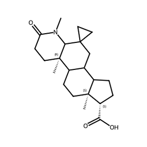 CN1C(=O)CC[C@]2(C)C3CC[C@@]4(C)C(CC[C@@H]4C(=O)O)C3CC3(CC3)C12